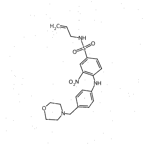 C=CCNS(=O)(=O)c1ccc(Nc2ccc(CN3CCOCC3)cc2)c([N+](=O)[O-])c1